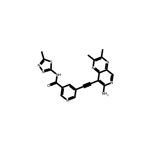 Cc1nnc(NC(=O)c2cncc(C#Cc3c(N)ncc4nc(C)c(C)nc34)c2)s1